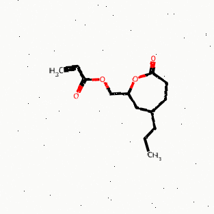 C=CC(=O)OCC1CC(CCC)CCC(=O)O1